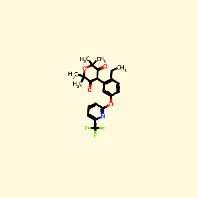 CCc1ccc(Oc2cccc(C(F)(F)F)n2)cc1C1C(=O)C(C)(C)OC(C)(C)C1=O